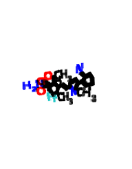 Cc1nc(/C=C/C2C(C)C(F)(F)CC3(C(N)=O)C(=O)OC(C)[C@@H]23)ccc1-c1ccccc1C#N